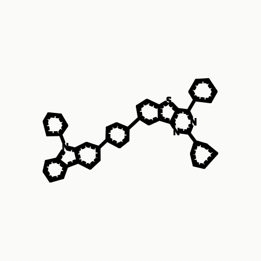 c1ccc(-c2nc(-c3ccccc3)c3sc4ccc(-c5ccc(-c6ccc7c8ccccc8n(-c8ccccc8)c7c6)cc5)cc4c3n2)cc1